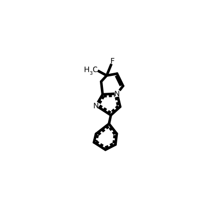 CC1(F)C=Cn2cc(-c3ccccc3)nc2C1